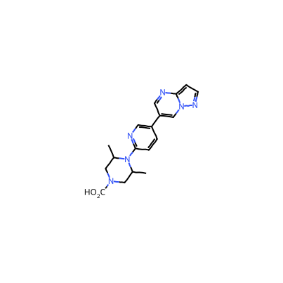 CC1CN(C(=O)O)CC(C)N1c1ccc(-c2cnc3ccnn3c2)cn1